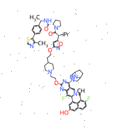 C#Cc1c(F)ccc2cc(O)cc(-c3ncc4c(N5CC6CCC(C5)N6)nc(OCCN5CCC(CCOc6cc([C@@H](C(=O)N7CCC[C@H]7C(=O)N[C@@H](C)c7ccc(-c8scnc8C)cc7)C(C)C)on6)CC5)nc4c3F)c12